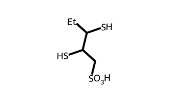 CCC(S)C(S)CS(=O)(=O)O